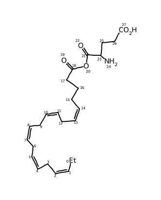 CC/C=C\C/C=C\C/C=C\C/C=C\C/C=C\CCCC(=O)OC(=O)C(N)CCC(=O)O